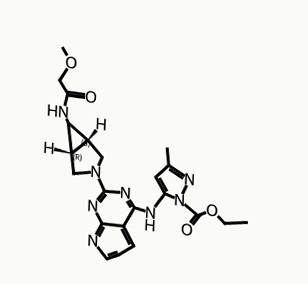 CCOC(=O)n1nc(C)cc1Nc1nc(N2C[C@@H]3C(NC(=O)COC)[C@@H]3C2)nc2ncccc12